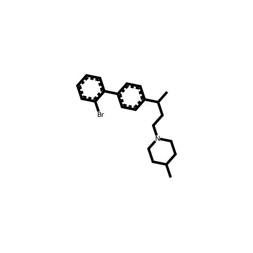 CC1CCN(CCC(C)c2ccc(-c3ccccc3Br)cc2)CC1